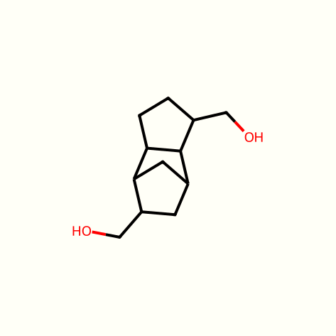 OCC1CC2CC1C1CCC(CO)C21